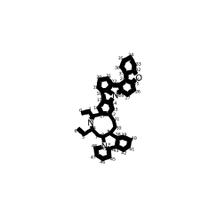 C=C/C1=N/C(C=C)CC2C(CCc3cc4c(cc31)c1cccc3c5c6c(ccc5n4c13)oc1ccccc16)c1ccccc1-c1cccc[n+]12